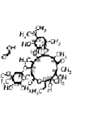 CC[C@H]1OC(=O)[C@H](C)[C@@H](O[C@H]2C[C@@](C)(OC)[C@@H](O)[C@H](C)O2)C(C)[C@@H](O[C@@H]2O[C@H](C)C[C@H](N(C)C)[C@H]2O)[C@](C)(OC)C[C@@H](C)C(=O)[C@H](C)[C@@H](O)[C@]1(C)O.O=CO